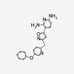 Nc1ccc(-c2cc(Cc3ccc(Oc4ccccc4)cn3)no2)c(N)n1